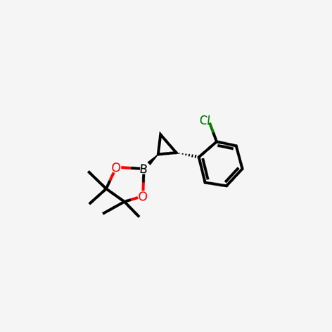 CC1(C)OB([C@H]2C[C@@H]2c2ccccc2Cl)OC1(C)C